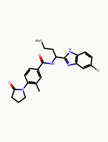 CSCCC(NC(=O)c1ccc(N2CCCC2=O)c(C)c1)c1nc2cc(Cl)ccc2[nH]1